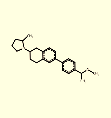 COC(C)c1ccc(-c2ccc3c(c2)CCC(N2CCCC2C)C3)cc1